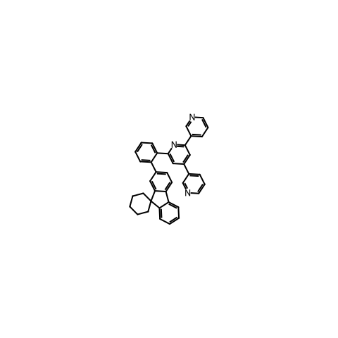 c1cncc(-c2cc(-c3cccnc3)nc(-c3ccccc3-c3ccc4c(c3)C3(CCCCC3)c3ccccc3-4)c2)c1